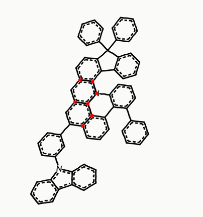 c1ccc(-c2ccccc2-c2c(-c3ccccc3)cccc2N(c2ccc(-c3cccc(-n4c5ccccc5c5ccccc54)c3)cc2)c2cccc3c2-c2ccccc2C3(c2ccccc2)c2ccccc2)cc1